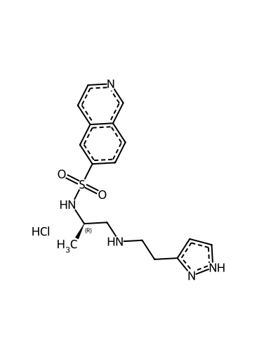 C[C@H](CNCCc1cc[nH]n1)NS(=O)(=O)c1ccc2cnccc2c1.Cl